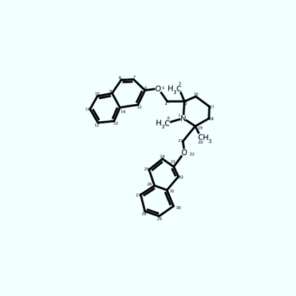 CN1C(C)(COc2ccc3ccccc3c2)CCCC1(C)COc1ccc2ccccc2c1